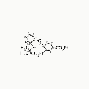 CCOC(=O)c1ccc(COc2ccccc2CC(C)(C)C(=O)OCC)cc1